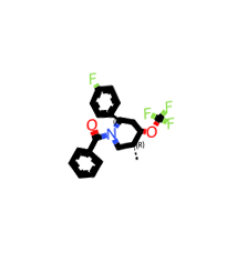 C[C@@H]1CN(C(=O)c2ccccc2)[C@@H](c2ccc(F)cc2)CC1OC(F)(F)F